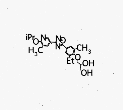 CCc1cc(-c2nc(-c3cnc(OC(C)C)c(C)c3)no2)cc(C)c1OC[C@H](O)CO